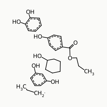 CCCOC(=O)c1ccc(O)cc1.OC1CCCCC1.Oc1cccc(O)c1.Oc1ccccc1O.[CH2]CC